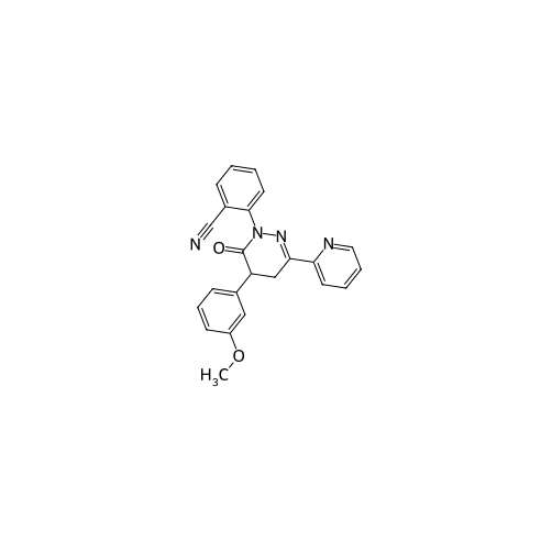 COc1cccc(C2CC(c3ccccn3)=NN(c3ccccc3C#N)C2=O)c1